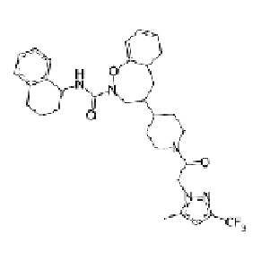 Cc1cc(C(F)(F)F)nn1CC(=O)N1CCC(C2CC3CC=CC=C3ON(C(=O)NC3CCCc4ccccc43)C2)CC1